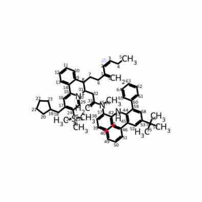 C=C(/C=C\CC)CCC1c2ccccc2-c2cc(CC3CCCC3)c([Si](C)(C)C)c[n+]2C1CC(=C)N(C)c1ccccc1Nc1c(-c2ccccc2)cc(C(C)(C)C)cc1-c1ccccc1